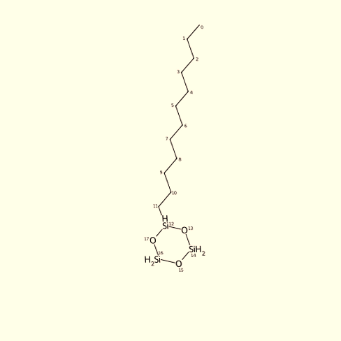 CCCCCCCCCCCC[SiH]1O[SiH2]O[SiH2]O1